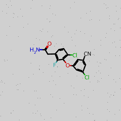 N#Cc1cc(Cl)cc(Oc2c(Cl)ccc(CC(N)=O)c2F)c1